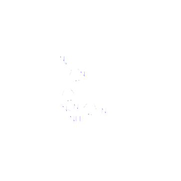 N#Cc1cncc(-c2ccc3nc(N)n(-c4ccc(N5CCOCC5)cc4)c3c2)c1